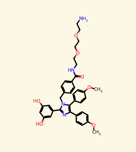 COc1ccc(-c2nc(-c3cc(O)cc(O)c3)n(Cc3ccc(C(=O)NCCOCCOCCN)cc3)c2-c2ccc(OC)cc2)cc1